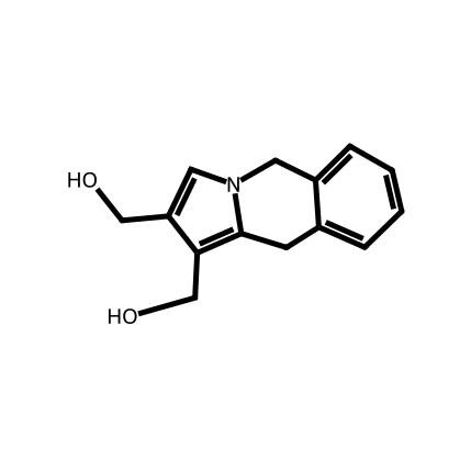 OCc1cn2c(c1CO)Cc1ccccc1C2